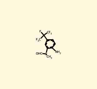 CN(C=O)c1cc(C(F)(C(F)(F)F)C(F)(F)F)ccc1N